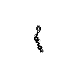 CN1CCN(CCCOc2ccc3cc(C=Cc4ccc(N(C)C)cc4)oc3c2)CC1